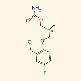 C[C@H](COC(N)=O)COc1ccc(F)cc1CCl